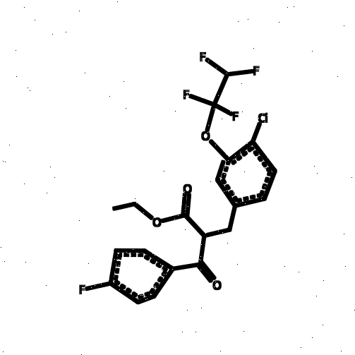 CCOC(=O)C(Cc1ccc(Cl)c(OC(F)(F)C(F)F)c1)C(=O)c1ccc(F)cc1